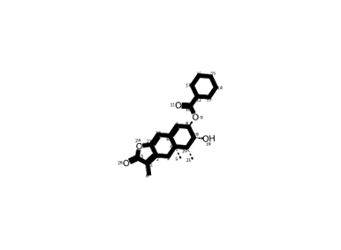 CC1=C2C[C@@]3(C)C(=C[C@H](OC(=O)C4CCCCC4)[C@H](O)[C@@H]3C)C=C2OC1=O